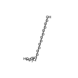 C=C(C)C(=O)O.C=C(C)C(=O)O.OCCOCCOCCOCCOCCOCCOCCOCCOCCOCCOCCOCCO